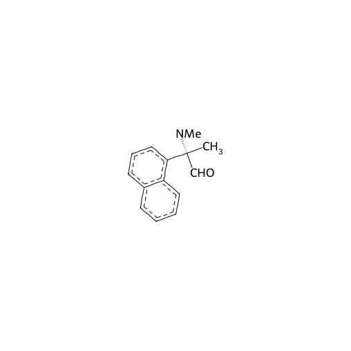 CN[C@](C)(C=O)c1cccc2ccccc12